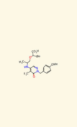 COc1ccc(Cn2ncc(NC(C)COC(C(=O)O)C(C)(C)C)c(C(F)(F)F)c2=O)cc1